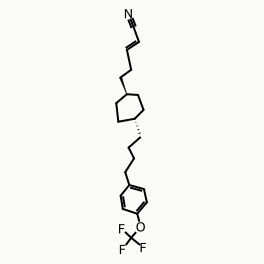 N#CC=CCC[C@H]1CC[C@H](CCCCc2ccc(OC(F)(F)F)cc2)CC1